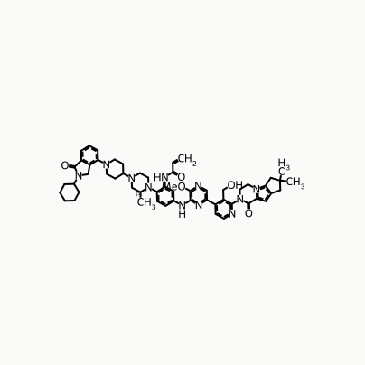 C=CC(=O)Nc1cc(Nc2nc(-c3ccnc(N4CCn5c(cc6c5CC(C)(C)C6)C4=O)c3CO)cnc2OC)ccc1N1CCN(C2CCN(c3cccc4c3CN(C3CCCCC3)C4=O)CC2)C[C@@H]1C